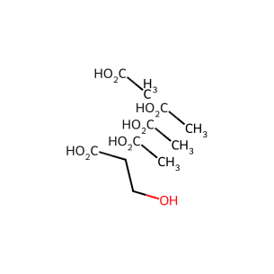 CC(=O)O.CC(=O)O.CC(=O)O.CC(=O)O.O=C(O)CCO